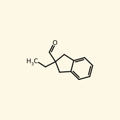 CCC1(C=O)Cc2ccccc2C1